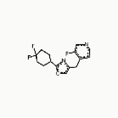 Fc1cnccc1Cc1coc(C2CCC(F)(F)CC2)n1